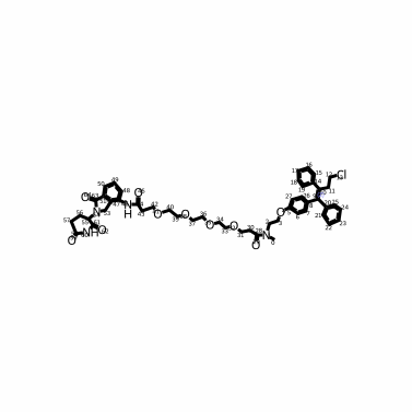 CN(CCOc1ccc(/C(=C(/CCCl)c2ccccc2)c2ccccc2)cc1)C(=O)CCOCCOCCOCCOCCC(=O)Nc1cccc2c1CN(C1CCC(=O)NC1=O)C2=O